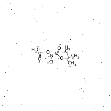 CC(=O)ON(Cl)C(=O)OC(C)(C)C